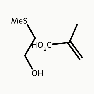 C=C(C)C(=O)O.CSCCO